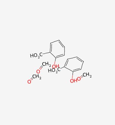 C=O.C=O.C=O.O=C(O)c1ccccc1O.O=C(O)c1ccccc1O